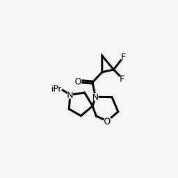 CC(C)N1CCC2(COCCN2C(=O)C2CC2(F)F)C1